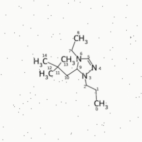 CCCN1N=CN(CC)C1CC(C)(C)C